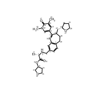 CC[C@H](NCc1ccc2c(c1)N=C(c1cc(C)c(=O)n(C)c1)C(C[C@@H]1CCCO1)CC2)C(=O)O[C@H]1CCOC1